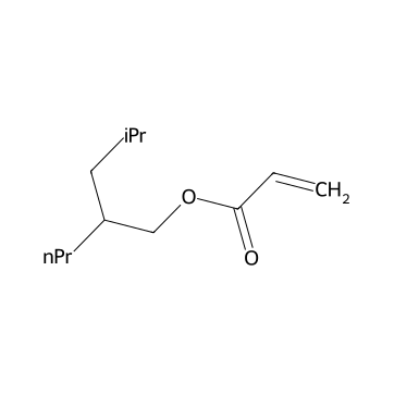 C=CC(=O)OCC(CCC)CC(C)C